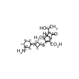 CC(O)[C@H]1C(=O)N2C(C(=O)O)=C(SC3CN([C@H]4CCC[C@@H](N)C4)C3)[C@H](C)[C@H]12